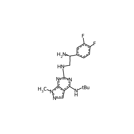 Cn1ncc2c(NC(C)(C)C)nc(NC[C@@H](N)c3ccc(F)c(F)c3)nc21